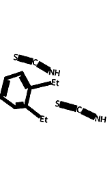 CCc1ccccc1CC.N=C=S.N=C=S